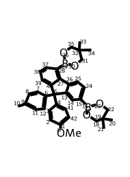 COc1ccc(C2(c3ccc(C)cc3)c3cc(B4OCC(C)(C)CO4)ccc3-c3c(B4OCC(C)(C)CO4)cccc32)cc1